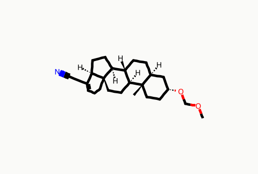 COCO[C@@H]1CC[C@@]2(C)[C@@H](CC[C@@H]3[C@@H]2CC[C@@]24CCC=C(C#N)[C@H]2CC[C@@H]34)C1